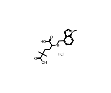 Cl.Cn1ccc2c(CNC(CCC(C)(C)C(=O)O)C(=O)O)cccc21